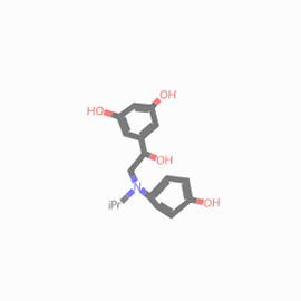 CC(C)N(CC(O)c1cc(O)cc(O)c1)c1ccc(O)cc1